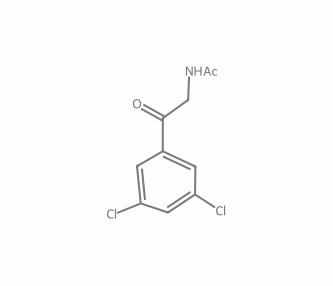 CC(=O)NCC(=O)c1cc(Cl)cc(Cl)c1